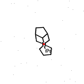 CC(C)N1CC2CCC(C1)C2N1CCCC1